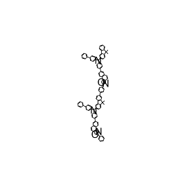 CC1(C)c2ccccc2-c2cc(N(c3ccc(-c4ccccc4)cc3)c3ccc(-c4ccc5c(ccc6nc(-c7ccc(-c8ccc9c(c8)C(C)(C)c8ccc(N(c%10ccc(-c%11ccccc%11)cc%10)c%10ccc(-c%11ccc%12c(ccc%13oc(-c%14ccccc%14)nc%13%12)c%11)cc%10)cc8-9)cc7)oc65)c4)cc3)ccc21